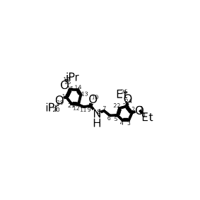 CCOc1ccc(CCNC(=O)Cc2ccc(OC(C)C)c(OC(C)C)c2)cc1OCC